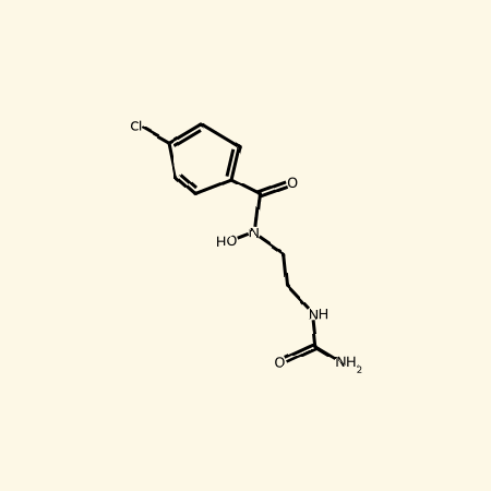 NC(=O)NCCN(O)C(=O)c1ccc(Cl)cc1